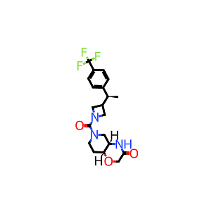 C[C@H](c1ccc(C(F)(F)F)cc1)C1CN(C(=O)N2CC[C@@H]3OCC(=O)N[C@@H]3C2)C1